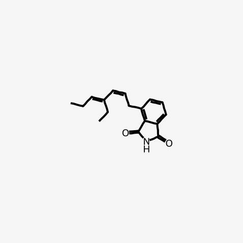 CC/C=C(/C=C\Cc1cccc2c1C(=O)NC2=O)CC